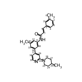 Cc1cccc(/C=C/C(=O)Nc2cc(C)cc(-c3ccnc(N4CCC(C)CC4)c3)c2)c1